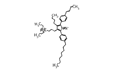 CCCCCCCCc1ccc(C2=C(CCCC)C(CCCC)=C(c3ccc(CCCC)cc3)[N+]2=[N-])cc1.C[CH2][Pd][CH2]C